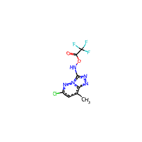 Cc1cc(Cl)nn2c(NOC(=O)C(F)(F)F)nnc12